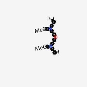 [3H]c1cccc(-c2ccc(N(c3ccc(OC)cc3)c3ccc(-c4ccc(Oc5ccc(-c6ccc(N(c7ccc(OC)cc7)c7ccc(-c8cccc([3H])c8)cc7)cc6)cc5)cc4)cc3)cc2)c1